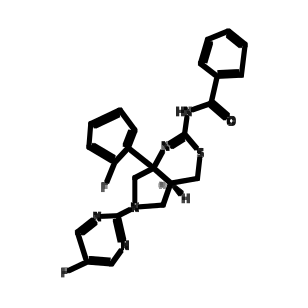 O=C(NC1=NC2(c3ccccc3F)CN(c3ncc(F)cn3)C[C@H]2CS1)c1ccccc1